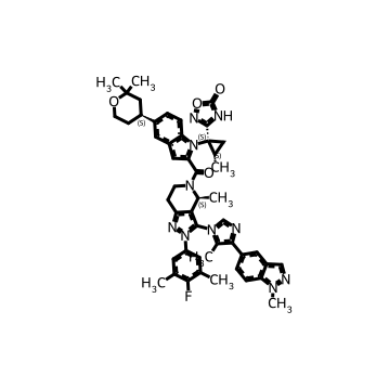 Cc1cc(-n2nc3c(c2-n2cnc(-c4ccc5c(cnn5C)c4)c2C)[C@H](C)N(C(=O)c2cc4cc([C@H]5CCOC(C)(C)C5)ccc4n2[C@@]2(c4noc(=O)[nH]4)C[C@@H]2C)CC3)cc(C)c1F